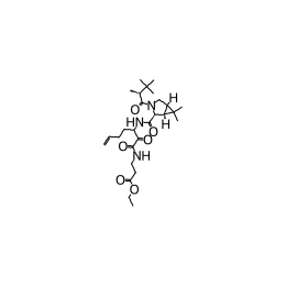 C=CCCC(NC(=O)[C@@H]1[C@@H]2[C@H](CN1C(=O)[C@@H](C)C(C)(C)C)C2(C)C)C(=O)C(=O)NCCC(=O)OCC